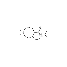 C/N=C1/C2CCCC(C)(C)CCC2CCN1C(C)C